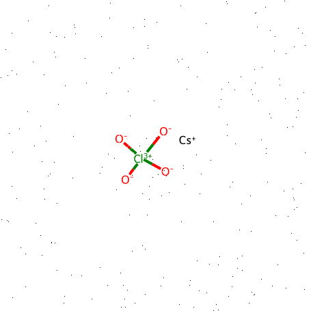 [Cs+].[O-][Cl+3]([O-])([O-])[O-]